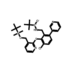 CC(C)(C)[S+]([O-])NCc1c(-c2cccnc2)ccc(Cl)c1Sc1ncccc1CO[Si](C)(C)C(C)(C)C